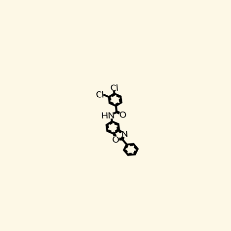 O=C(Nc1ccc2oc(-c3ccccc3)nc2c1)c1ccc(Cl)c(Cl)c1